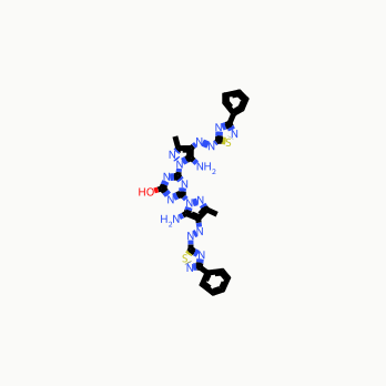 Cc1nn(-c2nc(O)nc(-n3nc(C)c(N=Nc4nc(-c5ccccc5)ns4)c3N)n2)c(N)c1N=Nc1nc(-c2ccccc2)ns1